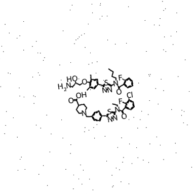 CCCCN(C(=O)c1ccccc1F)c1nnc(-c2cc(C)c(OCC(O)CN)c(C)c2)s1.CCN(C(=O)c1cccc(Cl)c1F)c1nnc(-c2ccc(CN3CCC(C(=O)O)CC3)cc2)s1